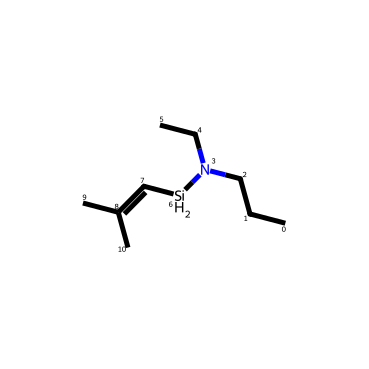 CCCN(CC)[SiH2]C=C(C)C